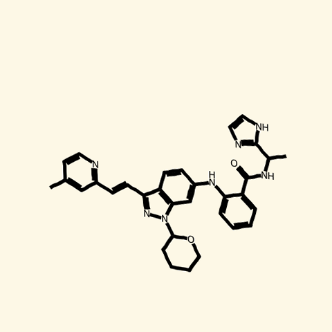 Cc1ccnc(C=Cc2nn(C3CCCCO3)c3cc(Nc4ccccc4C(=O)NC(C)c4ncc[nH]4)ccc23)c1